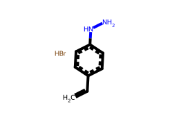 Br.C=Cc1ccc(NN)cc1